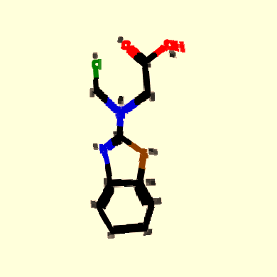 O=C(O)CN(CCl)c1nc2ccccc2s1